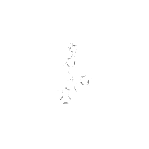 O=C(c1c[nH]c2ccccc12)[C@@H](NCCc1ccc(-c2nnc[nH]2)cc1)c1ccccc1